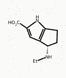 CCN[C@H]1CCc2[nH]c(C(=O)O)cc21